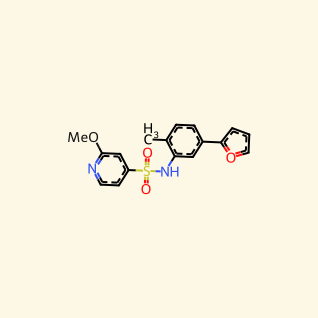 COc1cc(S(=O)(=O)Nc2cc(-c3ccco3)ccc2C)ccn1